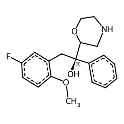 COc1ccc(F)cc1C[C@@](O)(c1ccccc1)C1CNCCO1